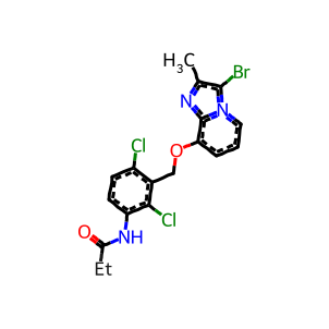 CCC(=O)Nc1ccc(Cl)c(COc2cccn3c(Br)c(C)nc23)c1Cl